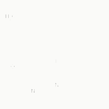 C=CCCC(=O)c1ncn(Cc2ccccc2)c1I